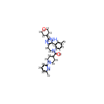 Cc1ccc2c(c1)-c1[nH]c(C3CCOCC3)nc1CCN2C(=O)C1CCN(c2cccc(C)n2)CC1